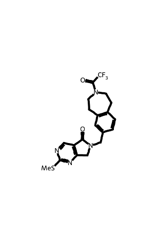 CSc1ncc2c(n1)CN(Cc1ccc3c(c1)CCN(C(=O)C(F)(F)F)CC3)C2=O